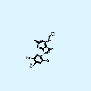 Cc1cc(CCO)c2c(C)cn(-c3cc(Br)c(Br)cc3Br)c2n1